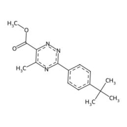 COC(=O)c1nnc(-c2ccc(C(C)(C)C)cc2)nc1C